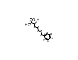 O=C(O)C(O)CCCCSCc1ccccc1